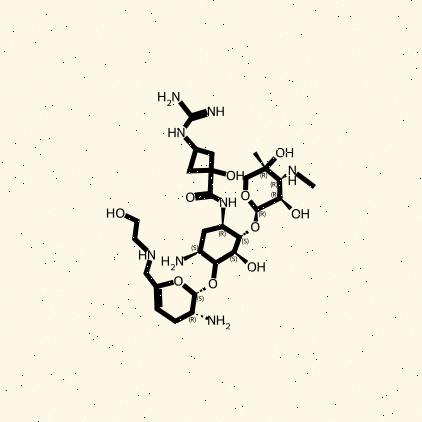 CN[C@@H]1[C@@H](O)[C@@H](O[C@H]2[C@H](NC(=O)C3(O)CC(NC(=N)N)C3)C[C@H](N)C(O[C@H]3OC(CNCCO)=CC[C@H]3N)[C@@H]2O)OC[C@]1(C)O